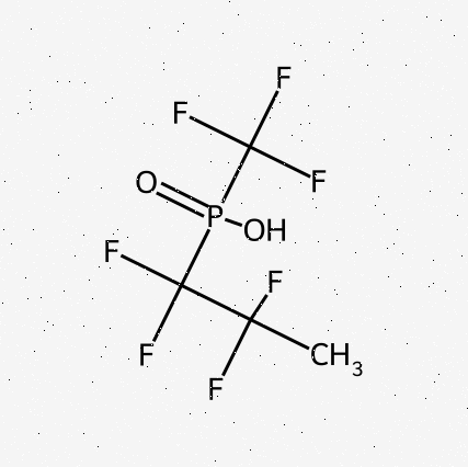 CC(F)(F)C(F)(F)P(=O)(O)C(F)(F)F